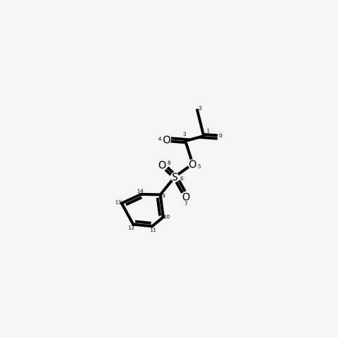 C=C(C)C(=O)OS(=O)(=O)c1ccccc1